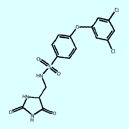 O=C1NC(=O)C(CNS(=O)(=O)c2ccc(Oc3cc(Cl)cc(Cl)c3)cc2)N1